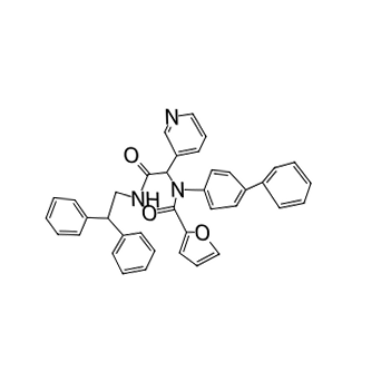 O=C(NCC(c1ccccc1)c1ccccc1)C(c1cccnc1)N(C(=O)c1ccco1)c1ccc(-c2ccccc2)cc1